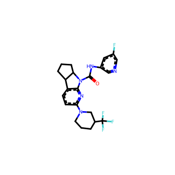 O=C(Nc1cncc(F)c1)N1c2nc(N3CCCC(C(F)(F)F)C3)ccc2C2CCCC21